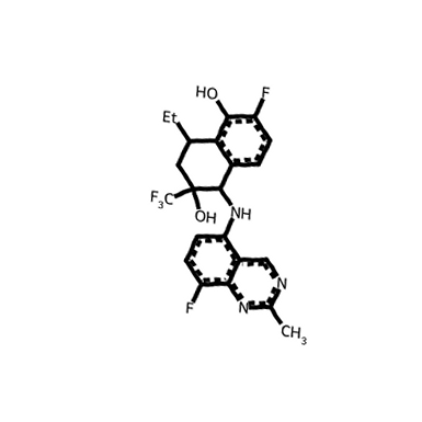 CCC1CC(O)(C(F)(F)F)C(Nc2ccc(F)c3nc(C)ncc23)c2ccc(F)c(O)c21